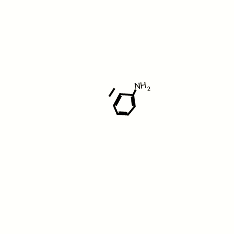 CC.Nc1ccccc1